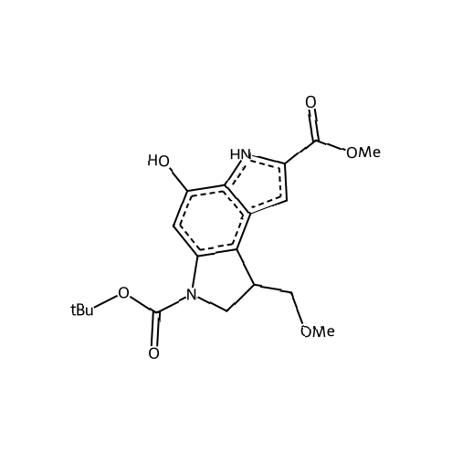 COCC1CN(C(=O)OC(C)(C)C)c2cc(O)c3[nH]c(C(=O)OC)cc3c21